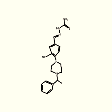 CC(c1ccccc1)N1CCN(c2ccc(C=NNC(N)=S)cc2C#N)CC1